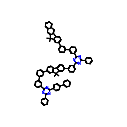 CC1(C)c2cc(-c3cccc(-c4cccc(-c5nc(-c6ccccc6)nc(-c6ccc(-c7ccccc7)cc6)n5)c4)c3)ccc2-c2ccc(-c3cccc(-c4nc(-c5ccccc5)nc(-c5cccc(-c6cccc(-c7ccc8c(c7)C(C)(C)c7cc9ccccc9cc7-8)c6)c5)n4)c3)cc21